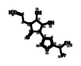 C=CCN1C(=O)N(c2cc(C(C)C(C)C)on2)C(O)C1O